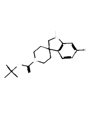 CC(C)(C)OC(=O)N1CCC2(CC1)CNc1cc(F)ccc12